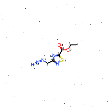 CCOC(=O)c1nc(CN=[N+]=[N-])ns1